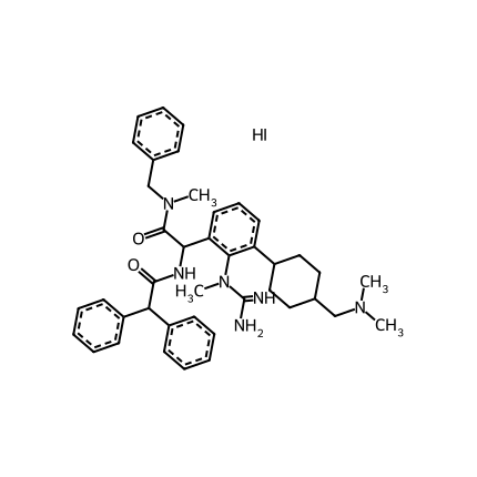 CN(C)CC1CCC(c2cccc(C(NC(=O)C(c3ccccc3)c3ccccc3)C(=O)N(C)Cc3ccccc3)c2N(C)C(=N)N)CC1.I